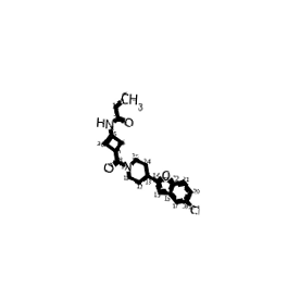 CCC(=O)NC1CC(C(=O)N2CCC(c3cc4cc(Cl)ccc4o3)CC2)C1